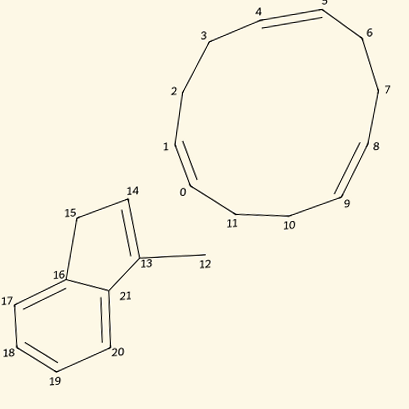 C1=CCCC=CCCC=CCC1.CC1=CCc2ccccc21